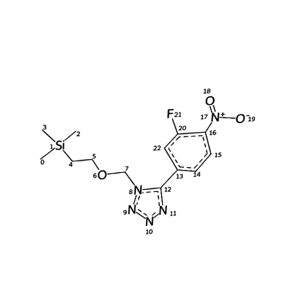 C[Si](C)(C)CCOCn1nnnc1-c1ccc([N+](=O)[O-])c(F)c1